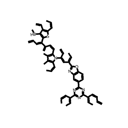 C=C/C=C\C(=C/C)c1nc(C(/C=C\C)=C/C)nc(-c2ccc3oc(C(=C/C)/C=C(\C=C)n4c(/C=C\C)c(C)c(C)c4/C=C\C(=C)/C(=C/C=C)c4sc(/C=C\C)c(C=C)c4BC)nc3c2)n1